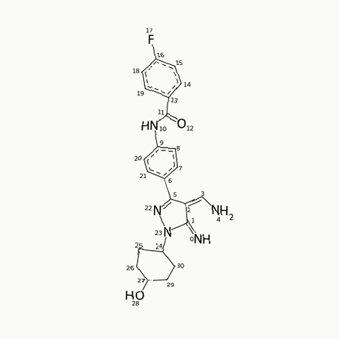 N=C1/C(=C\N)C(c2ccc(NC(=O)c3ccc(F)cc3)cc2)=NN1C1CCC(O)CC1